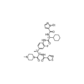 CCn1nccc1C(=O)N[C@H](C(=O)Nc1ccc([C@H](C)[C@@H](NC(=O)c2cnsc2)C(=O)N2CCN(C)CC2)cc1F)C1CCCCC1